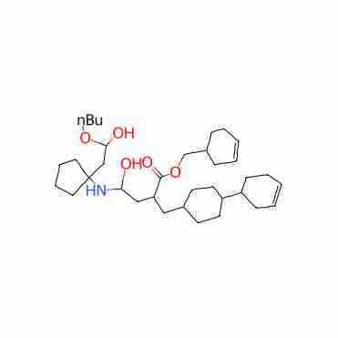 CCCCOC(O)CC1(NC(O)CC(CC2CCC(C3CC=CCC3)CC2)C(=O)OCC2CC=CCC2)CCCC1